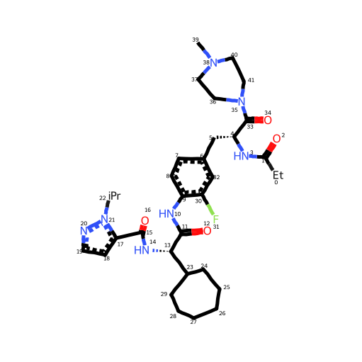 CCC(=O)N[C@H](Cc1ccc(NC(=O)[C@@H](NC(=O)c2ccnn2C(C)C)C2CCCCCC2)c(F)c1)C(=O)N1CCN(C)CC1